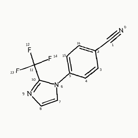 N#Cc1ccc(-n2ccnc2C(F)(F)F)cc1